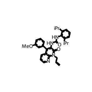 C=CCn1c(=O)c(NC(=O)Nc2c(C(C)C)cccc2C(C)C)c(-c2cccc(OC)c2)c2cccnc21